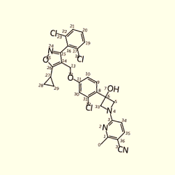 Cc1nc(N2CC(O)(c3ccc(OCc4c(-c5c(Cl)cccc5Cl)noc4C4CC4)cc3Cl)C2)ccc1C#N